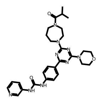 CC(C)C(=O)N1CCCN(c2nc(-c3ccc(NC(=O)Nc4cccnc4)cc3)nc(N3CCOCC3)n2)CC1